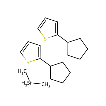 C[SiH2]C.c1csc(C2CCCC2)c1.c1csc(C2CCCC2)c1